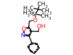 CC(C)(C)[Si](C)(C)OCc1onc(-c2ccccc2)c1CO